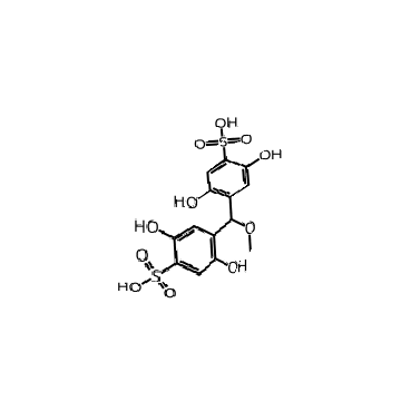 COC(c1cc(O)c(S(=O)(=O)O)cc1O)c1cc(O)c(S(=O)(=O)O)cc1O